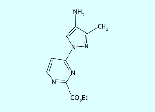 CCOC(=O)c1nccc(-n2cc(N)c(C)n2)n1